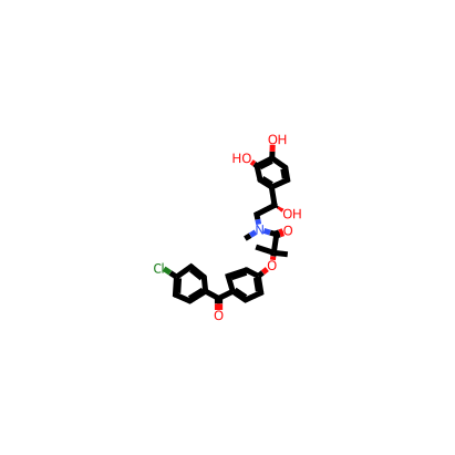 CN(C[C@H](O)c1ccc(O)c(O)c1)C(=O)C(C)(C)Oc1ccc(C(=O)c2ccc(Cl)cc2)cc1